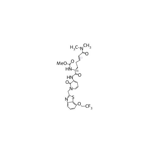 COC(=O)N[C@@H](CC/C=C/C(=O)N(C)C)C(=O)Nc1cccn(Cc2nc3cccc(OCC(F)(F)F)c3s2)c1=O